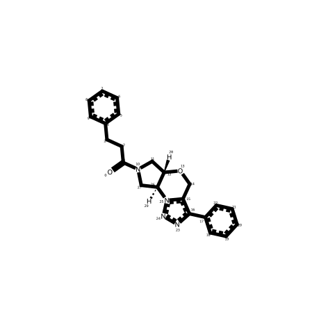 O=C(CCc1ccccc1)N1C[C@@H]2OCc3c(-c4ccccc4)nnn3[C@H]2C1